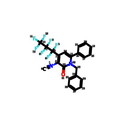 [C-]#[N+]c1c(C(F)(F)C(F)(F)C(F)(F)F)cc(-c2ccccc2)n(Cc2ccccc2)c1=O